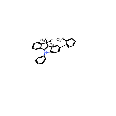 CC1(C)c2ccccc2-c2c1c1cc(-c3ccccc3[N+](=O)[O-])ccc1n2-c1ccccc1